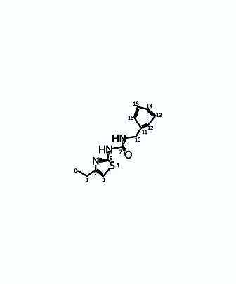 CCc1csc(NC(=O)NCc2ccccc2)n1